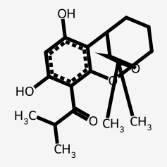 CC(C)C(=O)c1c(O)cc(O)c2c1OC13CCCC2C1CCC(C)(C)O3